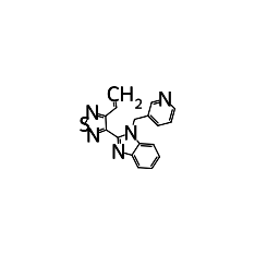 C=Cc1nsnc1-c1nc2ccccc2n1Cc1cccnc1